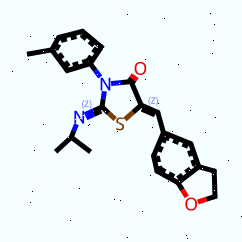 Cc1cccc(N2C(=O)/C(=C/c3ccc4c(c3)CCO4)S/C2=N\C(C)C)c1